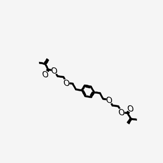 C=C(C)C(=O)OCCOCCc1ccc(CCOCCOC(=O)C(=C)C)cc1